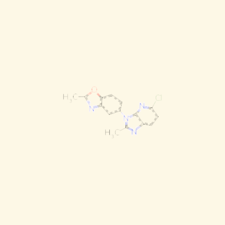 Cc1nc2cc(-n3c(C)nc4ccc(Cl)nc43)ccc2o1